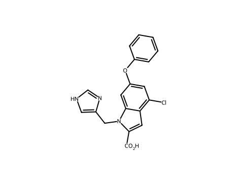 O=C(O)c1cc2c(Cl)cc(Oc3ccccc3)cc2n1Cc1c[nH]cn1